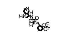 O=C(NCc1cccc2c1OC(F)(F)O2)C(O)Nc1c[nH]c2ccncc12